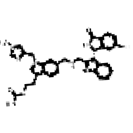 Cn1cnc(Cn2cc(CCOC(N)=O)c3ccc(CNCc4[nH]c5ccccc5c4[C@@H]4NC(=O)c5ccc(O)cc54)cc32)c1